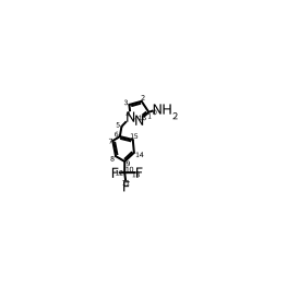 Nc1ccn(Cc2ccc(C(F)(F)F)cc2)n1